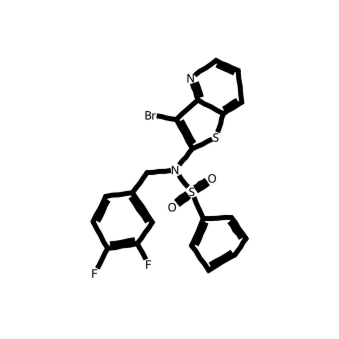 O=S(=O)(c1ccccc1)N(Cc1ccc(F)c(F)c1)c1sc2cccnc2c1Br